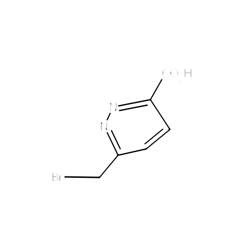 O=C(O)c1ccc(CBr)nn1